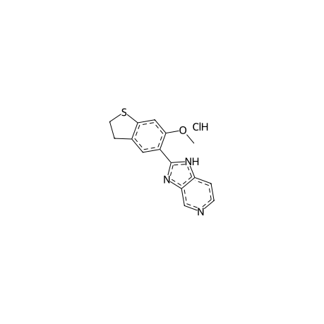 COc1cc2c(cc1-c1nc3cnccc3[nH]1)CCS2.Cl